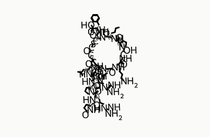 CCCC[C@@H]1NC(=O)[C@@H]2CCCN2C(O)CNC(=O)[C@H](CCCCN)NC(=O)[C@H](Cc2cnc[nH]2)NC(=O)[C@@H](NC(=O)[C@H](CC(C)C)NC(=O)[C@H](CCCNC(=N)N)NC(=O)[C@@H]2CCCN2C(=O)[C@H](CCCNC(=N)N)NC(=O)[C@@H]2CCC(=O)N2)CSCC(=O)CSC[C@@H](C(=O)N[C@@H](Cc2ccccc2)C(=O)O)NC1=O